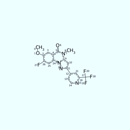 COc1cc2c(=O)n(C)c3cc(-c4ccnc(C(F)(F)F)c4)nn3c2cc1F